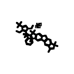 Cl.Cl.[CH2]=[Zr]([CH3])([C]1=C(CC)C(C(C)(C)C)=CC1CC)([C]1=C(C)c2cc3c(cc2C1(C)C)Cc1cc2c(cc1-3)C(C)=CC2(C)C)[c]1ccccc1